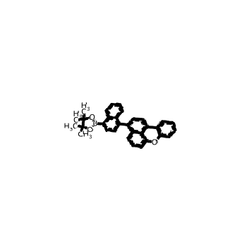 CC1(C)OB(c2ccc(-c3ccc4c5c(cccc35)Oc3ccccc3-4)c3ccccc23)OC1(C)C